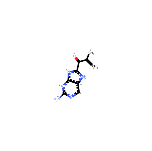 C=C(C)C(=O)c1nc2nc(N)ncc2[nH]1